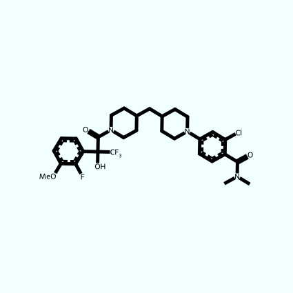 COc1cccc(C(O)(C(=O)N2CCC(CC3CCN(c4ccc(C(=O)N(C)C)c(Cl)c4)CC3)CC2)C(F)(F)F)c1F